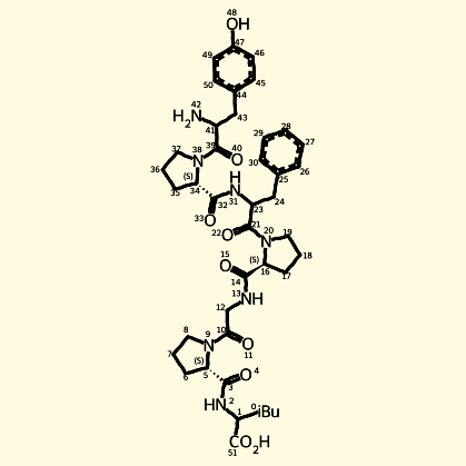 CCC(C)C(NC(=O)[C@@H]1CCCN1C(=O)CNC(=O)[C@@H]1CCCN1C(=O)C(Cc1ccccc1)NC(=O)[C@@H]1CCCN1C(=O)C(N)Cc1ccc(O)cc1)C(=O)O